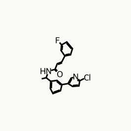 CC(NC(=O)C=Cc1cccc(F)c1)c1cccc(-c2ccc(Cl)nc2)c1